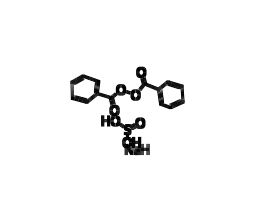 O=C(OOC(=O)c1ccccc1)c1ccccc1.O=S(O)O.[NaH]